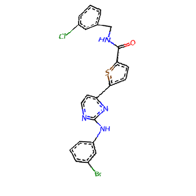 O=C(NCc1cccc(Cl)c1)c1ccc(-c2ccnc(Nc3cccc(Br)c3)n2)s1